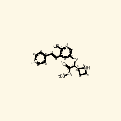 CC(C)(C)OC(=O)C(Oc1cnc(Cl)c(C=Cc2ccncc2)c1)[C@@H]1CCN1